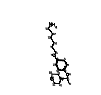 CC(Oc1ccc(OCCCCCCN)cc1)N1CCOCC1